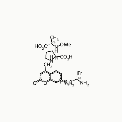 CC(C)[C@H](N)C(=O)O.CON[C@@H](C)C(=O)O.Cc1cc(=O)oc2cc(N)ccc12.O=C(O)[C@@H]1CCCN1